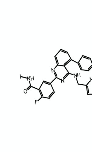 O=C(NI)c1cc(-c2nc(NCc3ccccn3)c3c(-c4ccccc4)cccc3n2)ccc1F